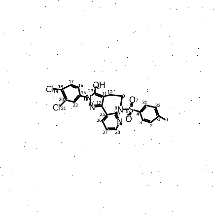 Cc1ccc(S(=O)(=O)N2CCc3c(nn(-c4ccc(Cl)c(Cl)c4)c3O)-c3cccnc32)cc1